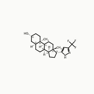 C[C@@]12CC[C@@H](O)C[C@@H]1CC[C@H]1[C@@H]2CC[C@]2(C)[C@H](c3cc(C(F)(F)F)n[nH]3)CC[C@@H]12